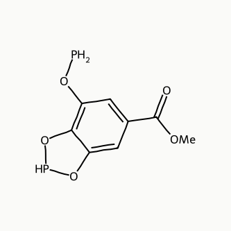 COC(=O)c1cc(OP)c2c(c1)OPO2